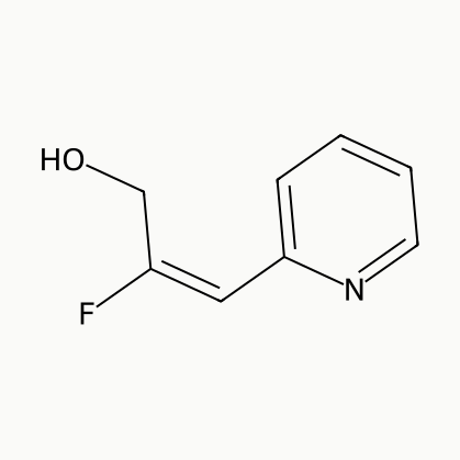 OC/C(F)=C\c1ccccn1